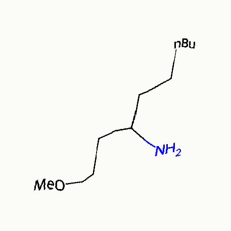 CCCCCCC(N)CCOC